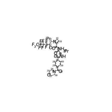 CC(C)C(C(=O)C(F)(F)C(F)(F)C(F)(F)C(F)(F)F)N1CC=C1C(=O)NC(=O)[C@@H](NC(=O)c1ccc(C(=O)N2CCOCC2)cc1)C(C)C